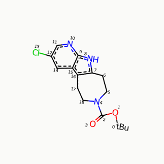 CC(C)(C)OC(=O)N1CCc2[nH]c3ncc(Cl)cc3c2CC1